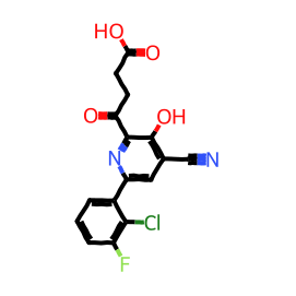 N#Cc1cc(-c2cccc(F)c2Cl)nc(C(=O)CCC(=O)O)c1O